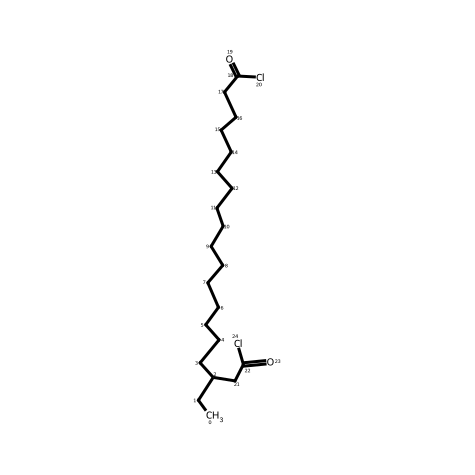 CCC(CCCCCCCCCCCCCCCC(=O)Cl)CC(=O)Cl